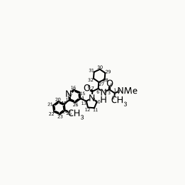 CNC(C)C(=O)NC(C(=O)N1CCCC1c1ccnc(-c2ccccc2C)c1)C1CCCCC1